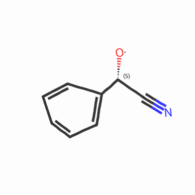 N#C[C@@H]([O])c1ccccc1